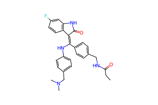 CCC(=O)NCc1ccc(C(Nc2ccc(CN(C)C)cc2)=C2C(=O)Nc3cc(F)ccc32)cc1